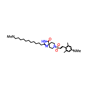 CNCCCCCCCCCCCC1=NC2(CCN(S(=O)(=O)/C=C/c3c(C)cc(NC)cc3C)CC2)C(=O)N1